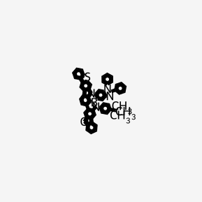 CC(C)(C)c1ccc(N2B3c4cc5nc(-c6ccccc6)n(-c6ccccc6)c5cc4-n4c5cc6sc7ccccc7c6cc5c5ccc(c3c54)-c3cc4oc5ccccc5c4cc32)cc1